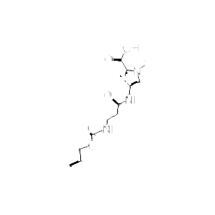 C=CCOC(=O)NCCC(=O)Nc1cn(C)c(C(=O)O)n1